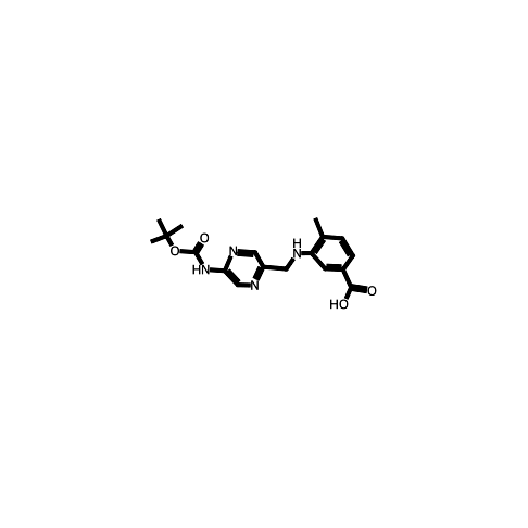 Cc1ccc(C(=O)O)cc1NCc1cnc(NC(=O)OC(C)(C)C)cn1